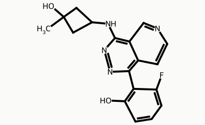 CC1(O)CC(Nc2nnc(-c3c(O)cccc3F)c3ccncc23)C1